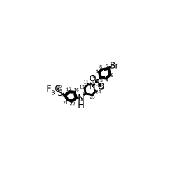 O=S(=O)(c1ccc(Br)cc1)N1CCC(Nc2ccc(SC(F)(F)F)cc2)CC1